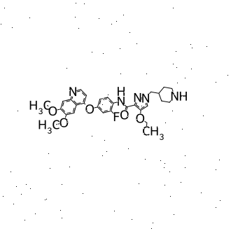 CCOc1cn(CC2CCNCC2)nc1C(=O)Nc1ccc(Oc2ccnc3cc(OC)c(OC)cc23)cc1F